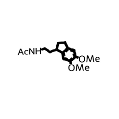 COc1cc2c(cc1OC)C(CCNC(C)=O)CC2